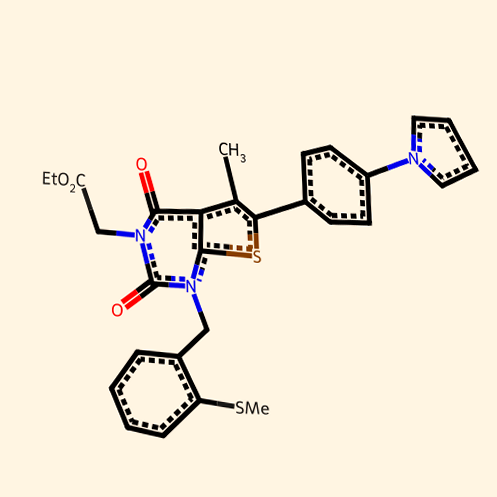 CCOC(=O)Cn1c(=O)c2c(C)c(-c3ccc(-n4cccc4)cc3)sc2n(Cc2ccccc2SC)c1=O